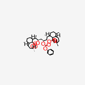 C[C@H]1[C@@H](C[C@H](OC(=O)Oc2ccccc2)C2O[C@@H]3O[C@]4(C)CC[C@H]5[C@H](C)CC[C@@H]([C@H]2C)[C@@]35OO4)O[C@@H]2O[C@]3(C)CC[C@H]4[C@H](C)CC[C@@H]1[C@@]24OO3